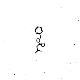 C[C](C)CC(=O)OCc1ccccc1